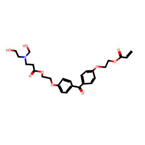 C=CC(=O)OCCOc1ccc(C(=O)c2ccc(OCCOC(=O)CCN(CO)CCO)cc2)cc1